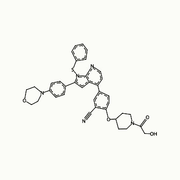 N#Cc1cc(-c2ccnc3c2cc(-c2ccc(N4CCOCC4)cc2)n3Sc2ccccc2)ccc1OC1CCN(C(=O)CO)CC1